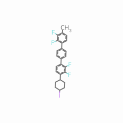 Cc1ccc(-c2ccc(-c3ccc(C4CCC(I)CC4)c(F)c3F)cc2)c(F)c1F